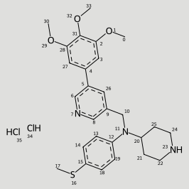 COc1cc(-c2cncc(CN(c3ccc(SC)cc3)C3CCNCC3)c2)cc(OC)c1OC.Cl.Cl